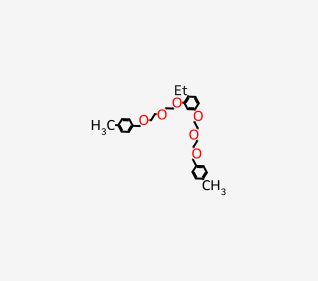 CCc1ccc(OCCOCCOCc2ccc(C)cc2)cc1OCCOCCOCc1ccc(C)cc1